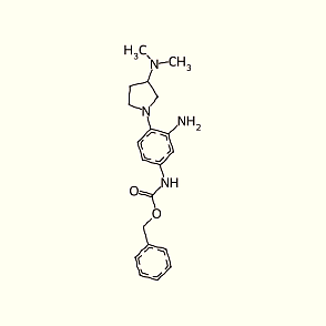 CN(C)C1CCN(c2ccc(NC(=O)OCc3ccccc3)cc2N)C1